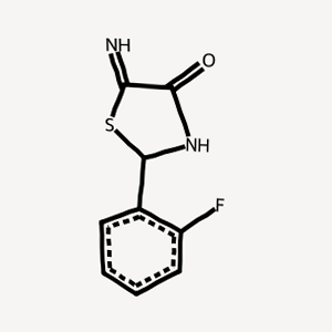 N=C1SC(c2ccccc2F)NC1=O